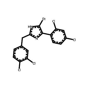 CCc1[nH]c(Cc2ccc(Cl)c(Cl)c2)nc1-c1ccc(Cl)cc1Cl